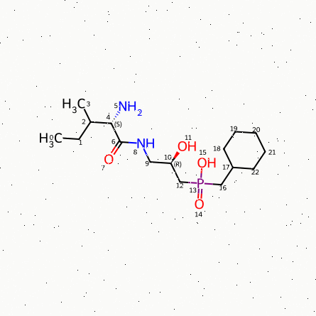 CCC(C)[C@H](N)C(=O)NC[C@@H](O)CP(=O)(O)CC1CCCCC1